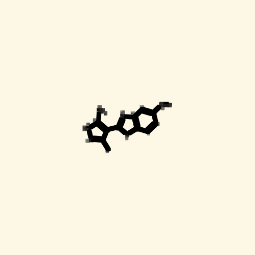 COc1ccc2sc(-c3c(C)n[nH]c3N)nc2c1